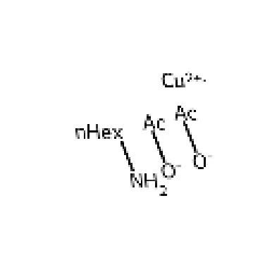 CC(=O)[O-].CC(=O)[O-].CCCCCCN.[Cu+2]